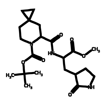 COC(=O)C(CC1CCNC1=O)NC(=O)C1CC2(CCN1C(=O)OC(C)(C)C)CC2